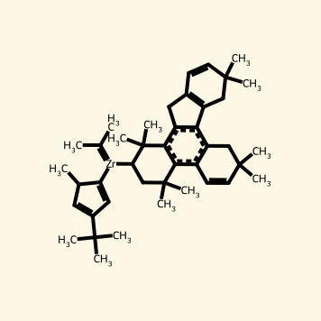 C[C](C)=[Zr]([C]1=CC(C(C)(C)C)=CC1C)[CH]1CC(C)(C)c2c3c(c4c(c2C1(C)C)CC1=C4CC(C)(C)C=C1)CC(C)(C)C=C3